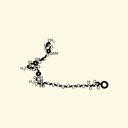 COc1cc2c(cc1OCCCCCOc1cc3c(cc1OC)C(=O)N1C=C(C)C[C@H]1[C@H](O)N3C(=O)OCc1ccc(NC(=O)C(C)NC(=O)[C@@H](NC(=O)CCOCCOCCOCCOCCOCCOCCOCCOCCNC(=O)CCN3C(=O)CC(c4ccccccccc4)C3=O)C(C)C)cc1)N=C[C@@H]1CC(C)=CN1C2=O